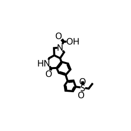 CCS(=O)(=O)c1cccc(-c2ccc3c(c2)C(=O)NCC2CN(C(=O)O)CC32)c1